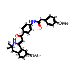 COc1ccc(CC(=O)Nc2ccc(C(=O)/C=C3\NC(C)(C)Cc4ccc(OC)cc43)cc2)cc1